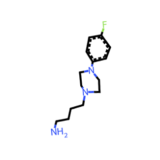 NCCCCN1CCN(c2ccc(F)cc2)CC1